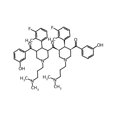 Cc1c(F)cccc1C1C(C(=O)c2cccc(O)c2)CN(CCCN(C)C)CC1C(=O)[C@@H]1CN(CCCN(C)C)C[C@H](C(=O)c2cccc(O)c2)[C@@H]1c1cccc(F)c1C